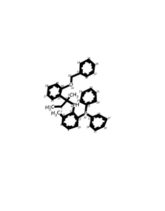 CCC(C)(Pc1c(C)cccc1P(c1ccccc1)c1ccccc1)c1ccccc1OCc1ccccc1